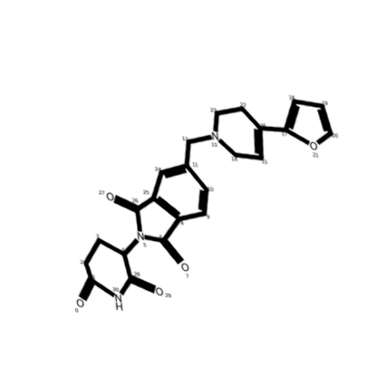 O=C1CCC(N2C(=O)c3ccc(CN4CC=C(c5ccco5)CC4)cc3C2=O)C(=O)N1